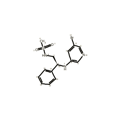 CS(=O)(=O)NC[C@@H](Nc1cncc(Br)c1)c1ccccc1